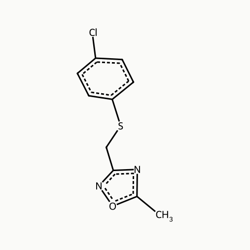 Cc1nc(CSc2ccc(Cl)cc2)no1